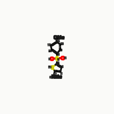 CNc1ccc(S(=O)(=O)c2ccc(OC)cc2)s1